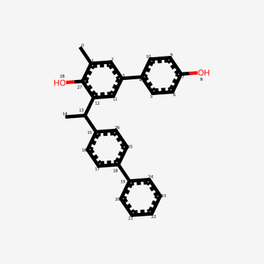 Cc1cc(-c2ccc(O)cc2)cc(C(C)c2ccc(-c3ccccc3)cc2)c1O